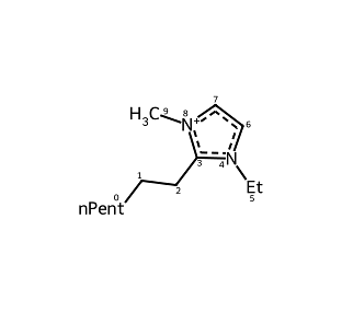 CCCCCCCc1n(CC)cc[n+]1C